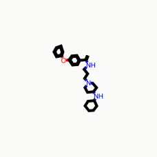 C=C(NCCCN1CCC(NC2CCCCC2)CC1)c1ccc(Oc2ccccc2)cc1